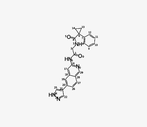 O=C(CNC(=O)C1(c2ccccc2)CC1)Nc1cc2cc(-c3cn[nH]c3)ccc2cn1